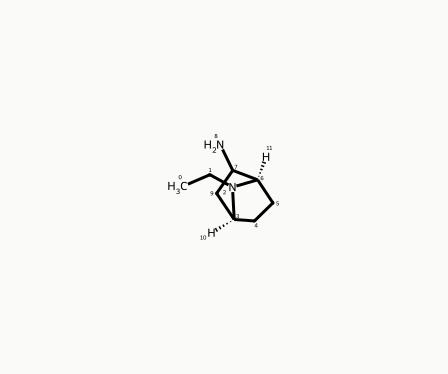 CCN1[C@H]2CC[C@@H]1C(N)C2